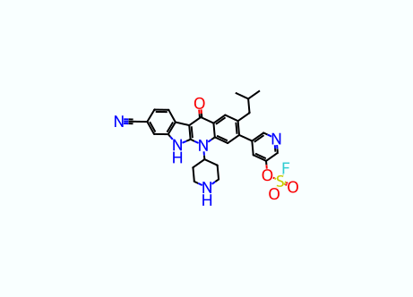 CC(C)Cc1cc2c(=O)c3c4ccc(C#N)cc4[nH]c3n(C3CCNCC3)c2cc1-c1cncc(OS(=O)(=O)F)c1